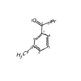 CC(C)C(=O)c1ccc[n+](C)c1